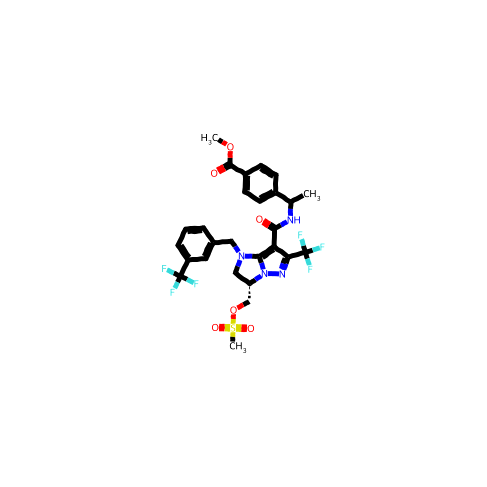 COC(=O)c1ccc(C(C)NC(=O)c2c(C(F)(F)F)nn3c2N(Cc2cccc(C(F)(F)F)c2)C[C@H]3COS(C)(=O)=O)cc1